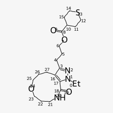 CCn1nc(CCCOC(=O)C2CCSCC2)c2c1C(=O)NCCCOCCC2